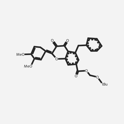 COC1=CCC(=C2Oc3cc(C(=O)OCOC(C)(C)C)cc(Cc4ccccc4)c3C(=O)C2=O)C=C1OC